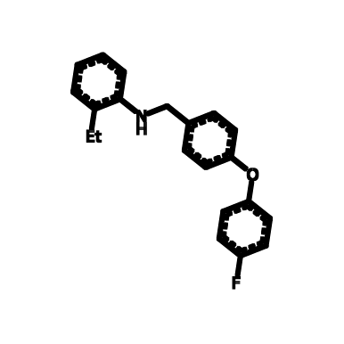 CCc1ccccc1NCc1ccc(Oc2ccc(F)cc2)cc1